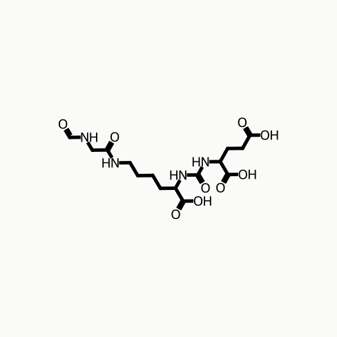 O=CNCC(=O)NCCCCC(NC(=O)NC(CCC(=O)O)C(=O)O)C(=O)O